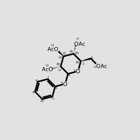 CC(=O)OC[C@H]1OC(Oc2ccccc2)[C@H](OC(C)=O)[C@@H](OC(C)=O)[C@@H]1OC(C)=O